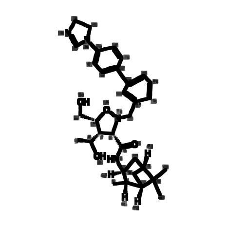 C[C@@H]1[C@@H](NC(=O)[C@@H]2[C@H]([C@H](C)O)[C@H](CO)ON2Cc2cccc(-c3ccc(N4C=NCC4)cc3)c2)C[C@H]2C[C@@H]1C2(C)C